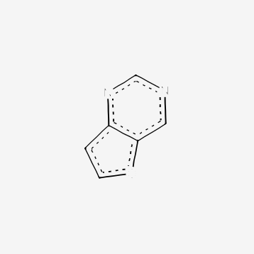 c1ncc2occc2n1